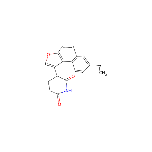 C=Cc1ccc2c(ccc3occ(C4CCC(=O)NC4=O)c32)c1